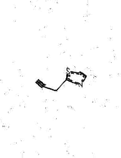 C#CCc1nccs1